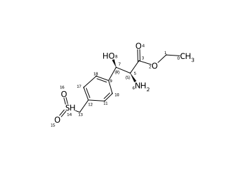 CCOC(=O)[C@@H](N)[C@H](O)c1ccc(C[SH](=O)=O)cc1